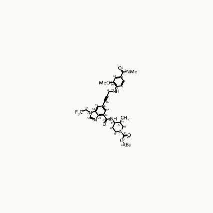 CNC(=O)c1ccc(NCC#Cc2cc(C(=O)NC3CCN(C(=O)OC(C)(C)C)C[C@@H]3C)c3ncn(CC(F)(F)F)c3c2)c(OC)c1